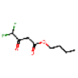 CCCCOC(=O)CC(=O)C(F)F